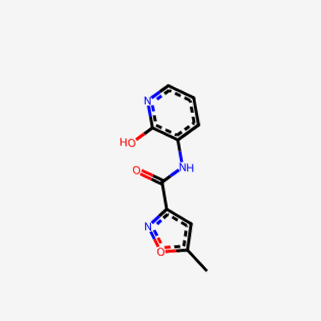 Cc1cc(C(=O)Nc2cccnc2O)no1